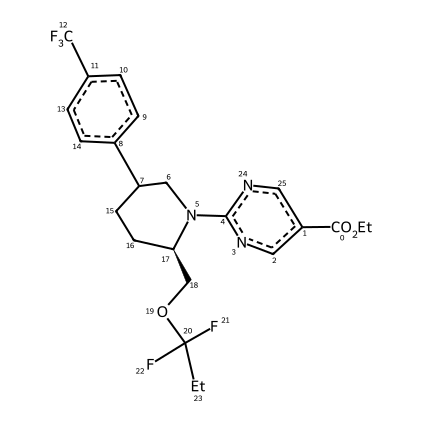 CCOC(=O)c1cnc(N2CC(c3ccc(C(F)(F)F)cc3)CC[C@@H]2COC(F)(F)CC)nc1